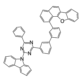 c1ccc(-c2nc(-c3cccc(-c4cccc(-c5cccc6ccc7c8ccccc8oc7c56)c4)c3)nc(-n3c4ccccc4c4ccccc43)n2)cc1